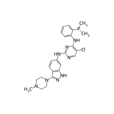 CN1CCN(c2n[nH]c3cc(Nc4ncc(Cl)c(Nc5ccccc5P(C)C)n4)ccc23)CC1